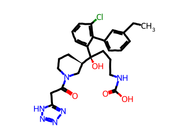 CCc1cccc(-c2c(Cl)cccc2[C@](O)(CCCNC(=O)O)[C@@H]2CCCN(C(=O)Cc3nnn[nH]3)C2)c1